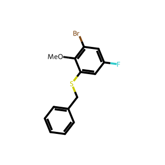 COc1c(Br)cc(F)cc1SCc1ccccc1